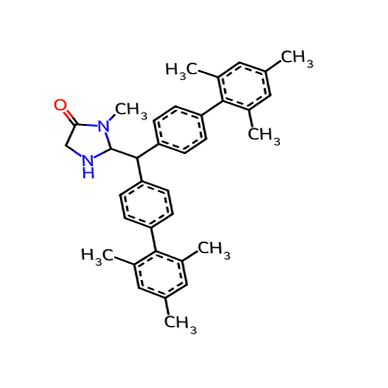 Cc1cc(C)c(-c2ccc(C(c3ccc(-c4c(C)cc(C)cc4C)cc3)C3NCC(=O)N3C)cc2)c(C)c1